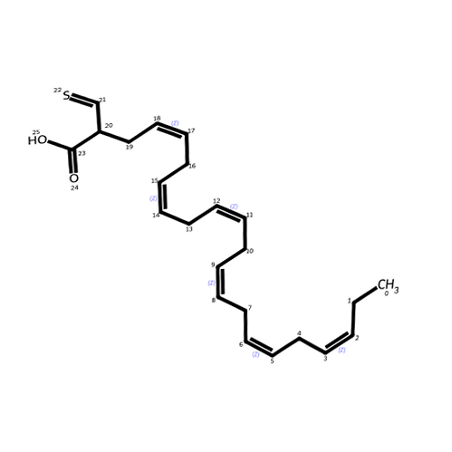 CC/C=C\C/C=C\C/C=C\C/C=C\C/C=C\C/C=C\CC(C=S)C(=O)O